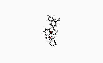 Cc1c(C(=O)N2C3CCC2CN(c2ccccn2)C3)cnn1-c1nn2cccc2c(=O)[nH]1